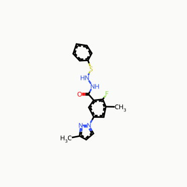 Cc1ccn(-c2cc(C)c(F)c(C(=O)NNSc3ccccc3)c2)n1